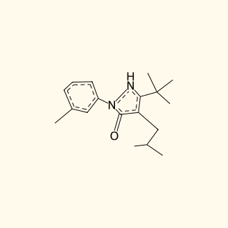 Cc1cccc(-n2[nH]c(C(C)(C)C)c(CC(C)C)c2=O)c1